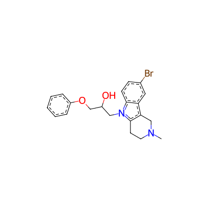 CN1CCc2c(c3cc(Br)ccc3n2CC(O)COc2ccccc2)C1